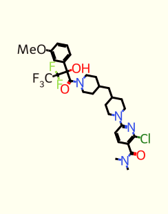 COc1cccc(C(O)(C(=O)N2CCC(CC3CCN(c4ccc(C(=O)N(C)C)c(Cl)n4)CC3)CC2)C(F)(F)C(F)(F)F)c1